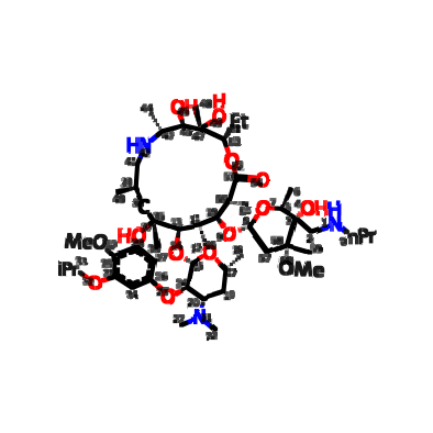 CCCNC[C@]1(O)[C@H](C)O[C@@H](O[C@H]2[C@H](C)[C@@H](O[C@@H]3O[C@H](C)C[C@H](N(C)C)[C@H]3Oc3ccc(OC)c(OC(C)C)c3)[C@](C)(O)C[C@@H](C)CN[C@H](C)[C@@H](O)[C@](C)(O)[C@@H](CC)OC(=O)[C@@H]2C)C[C@@]1(C)OC